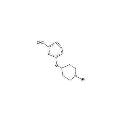 CC(C)N1CCC(Oc2cccc(C=O)c2)CC1